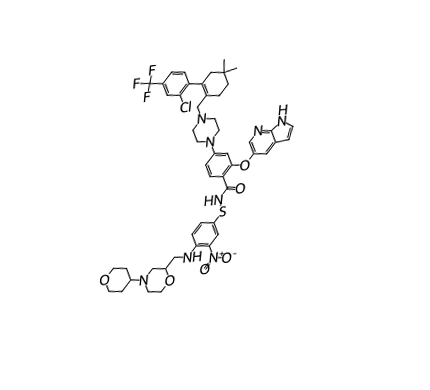 CC1(C)CCC(CN2CCN(c3ccc(C(=O)NSc4ccc(NCC5CN(C6CCOCC6)CCO5)c([N+](=O)[O-])c4)c(Oc4cnc5[nH]ccc5c4)c3)CC2)=C(c2ccc(C(F)(F)F)cc2Cl)C1